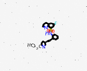 O=C(O)c1ccc(C#Cc2ccccc2NS(=O)(=O)c2cc(F)cc3cccnc23)cn1